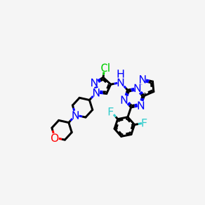 Fc1cccc(F)c1-c1nc(Nc2cn(C3CCN(C4CCOCC4)CC3)nc2Cl)n2nccc2n1